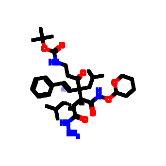 CC(C)C[C@@H](C(=O)NN)[C@H](C(=O)NOC1CCCCO1)C(/C=C/c1ccccc1)(CC(C)C)C(=O)CCNC(=O)OC(C)(C)C